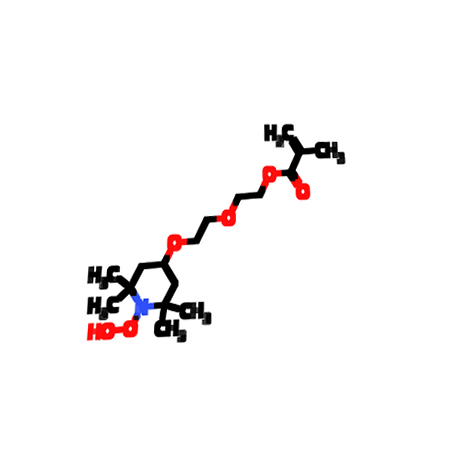 C=C(C)C(=O)OCCOCCOC1CC(C)(C)N(OO)C(C)(C)C1